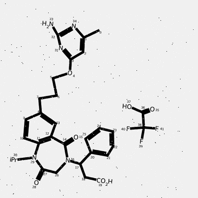 Cc1cc(OCCCc2ccc3c(c2)C(=O)N(C(CC(=O)O)c2ccccc2)CC(=O)N3C(C)C)nc(N)n1.O=C(O)C(F)(F)F